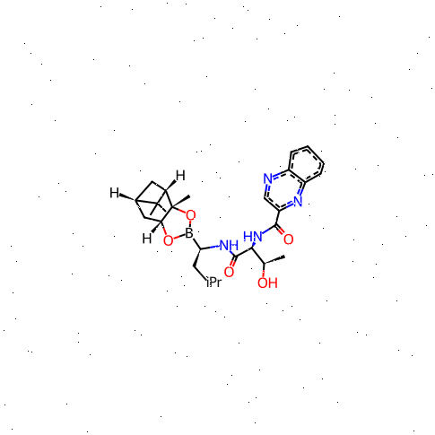 CC(C)C[C@H](NC(=O)[C@@H](NC(=O)c1cnc2ccccc2n1)[C@@H](C)O)B1O[C@@H]2C[C@@H]3C[C@@H](C3(C)C)[C@]2(C)O1